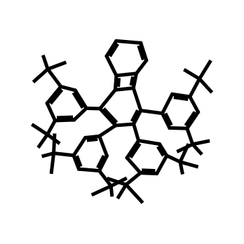 CC(C)(C)c1cc(-c2c(-c3cc(C(C)(C)C)cc(C(C)(C)C)c3)c(-c3cc(C(C)(C)C)cc(C(C)(C)C)c3)c3c(c2-c2cc(C(C)(C)C)cc(C(C)(C)C)c2)=c2ccccc2=3)cc(C(C)(C)C)c1